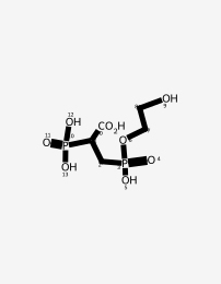 O=C(O)C(CP(=O)(O)OCCO)P(=O)(O)O